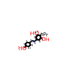 CCCc1c(O)cc(/C=C/c2ccc(O)cc2)cc1O